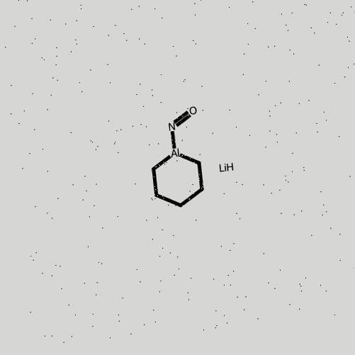 O=[N][Al]1[CH2]CCC[CH2]1.[LiH]